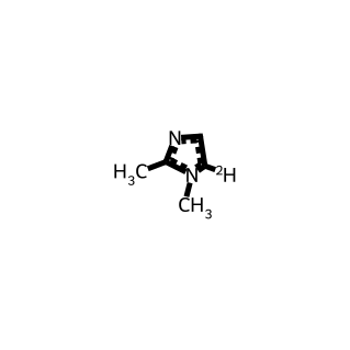 [2H]c1cnc(C)n1C